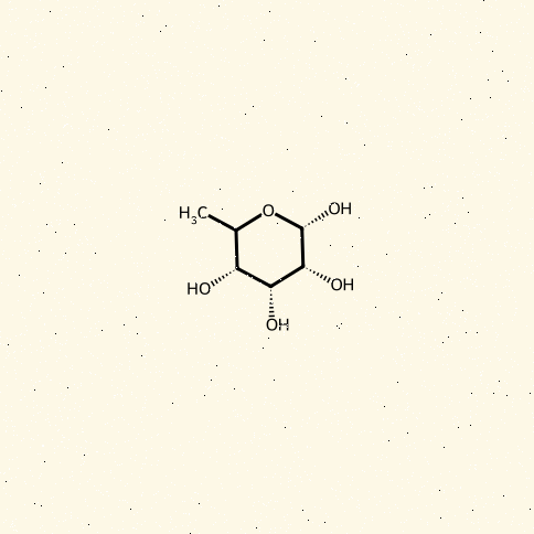 CC1O[C@H](O)[C@H](O)[C@H](O)[C@@H]1O